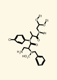 CCOC(CN(C(=O)C(C)N(C(=O)C(CN)N(Cc1ccccc1)C(=O)O)c1ccc(Cl)cc1)C(C)C)OCC